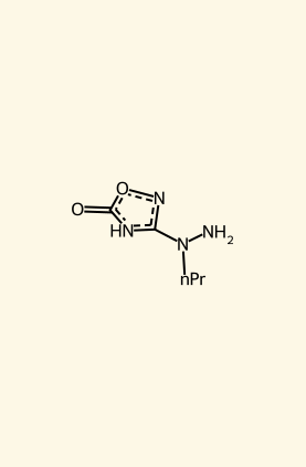 CCCN(N)c1noc(=O)[nH]1